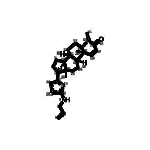 C=CCNc1nc(C2CC[C@H]3[C@@H]4CCC5N(C)C(=O)C=C[C@]5(C)[C@@H]4CC[C@]23C)cs1